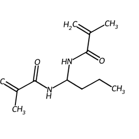 C=C(C)C(=O)NC(CCC)NC(=O)C(=C)C